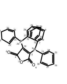 O=C1OC(=O)C(P(c2ccccc2)c2ccccc2)=C1P(C1=CCCC=C1)c1ccccc1